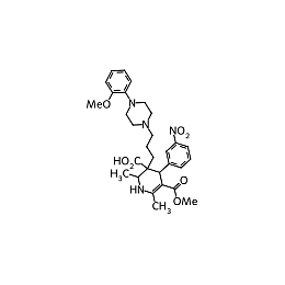 COC(=O)C1=C(C)NC(C)C(CCCN2CCN(c3ccccc3OC)CC2)(C(=O)O)C1c1cccc([N+](=O)[O-])c1